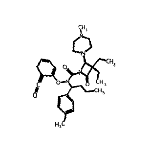 CCCC(c1ccc(C)cc1)N(OC1=CC=CCC1=C=O)C(=O)N1C(=O)C(CC)(CC)C1N1CCN(C)CC1